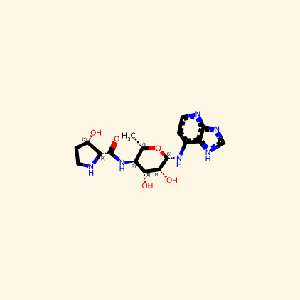 C[C@@H]1O[C@H](Nc2ccnc3nc[nH]c23)[C@H](O)[C@H](O)[C@H]1NC(=O)[C@@H]1NCC[C@@H]1O